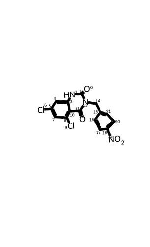 O=c1[nH]c2cc(Cl)cc(Cl)c2c(=O)n1Cc1ccc([N+](=O)[O-])cc1